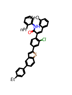 CCCc1ccccc1NC(=O)C(=Cc1cccc(OC)c1)c1ccc(-c2cc3cc(-c4ccc(CC)cc4)ccc3s2)cc1Cl